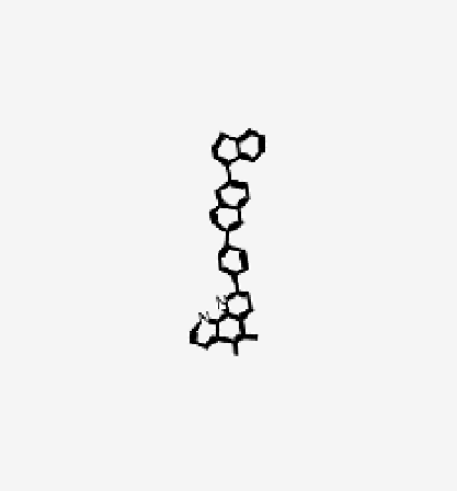 Cc1c(C)c2ccc(-c3ccc(-c4ccc5cc(-c6cccc7ccccc67)ccc5c4)cc3)nc2c2ncccc12